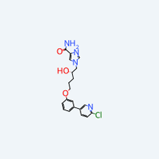 NC(=O)c1cn(C[C@@H](O)CCCOc2cccc(-c3ccc(Cl)nc3)c2)cn1